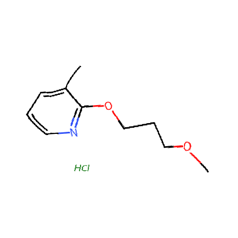 COCCCOc1ncccc1C.Cl